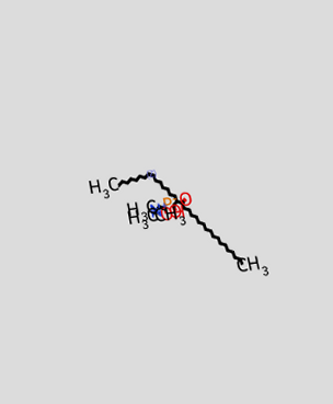 CCCCCCCC/C=C\CCCCCCC(C(=O)CCCCCCCCCCCCCCCCC)C(=O)[P-]C(O)C[N+](C)(C)C